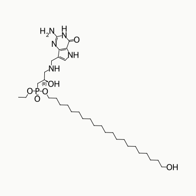 CCOP(=O)(C[C@H](O)CNCc1c[nH]c2c(=O)[nH]c(N)nc12)OCCCCCCCCCCCCCCCCCCCCCO